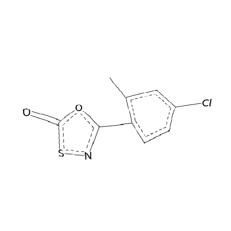 Cc1cc(Cl)ccc1-c1nsc(=O)o1